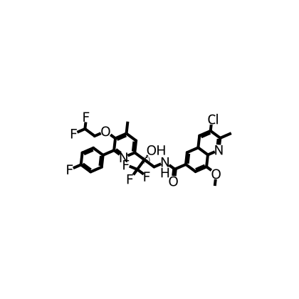 COC1=CC(C(=O)NC[C@](O)(c2cc(C)c(OCC(F)F)c(-c3ccc(F)cc3)n2)C(F)(F)F)=CC2C=C(Cl)C(C)=NC12